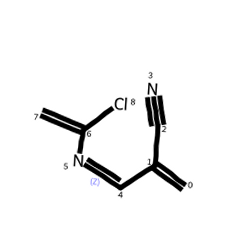 C=C(C#N)/C=N\C(=C)Cl